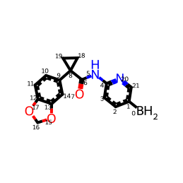 Bc1ccc(NC(=O)C2(c3ccc4c(c3)OCO4)CC2)nc1